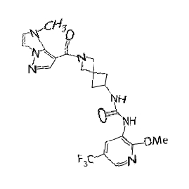 COc1ncc(C(F)(F)F)cc1NC(=O)NC1CC2(C1)CN(C(=O)c1cnn3ccn(C)c13)C2